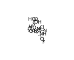 C[C@@H](Nc1c(C#N)c(Cl)nc2c1ccn2[C@@H]1O[C@H](CSCP(=O)(O)O)[C@H]2OC(C)(C)O[C@H]21)c1ccc(F)cc1